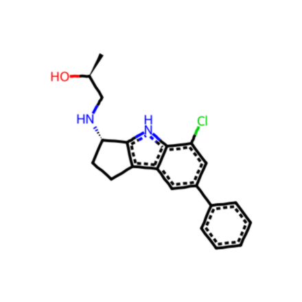 C[C@H](O)CN[C@H]1CCc2c1[nH]c1c(Cl)cc(-c3ccccc3)cc21